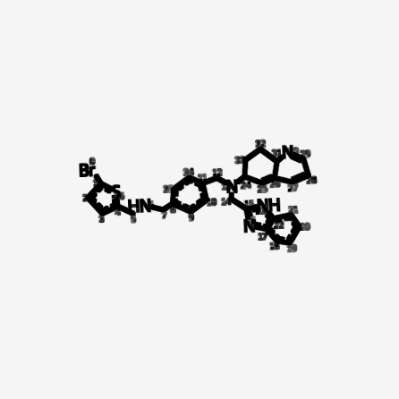 Brc1ccc(CNCc2ccc(CN(Cc3nc4ccccc4[nH]3)C3C=C4C=CC=NC4CC3)cc2)s1